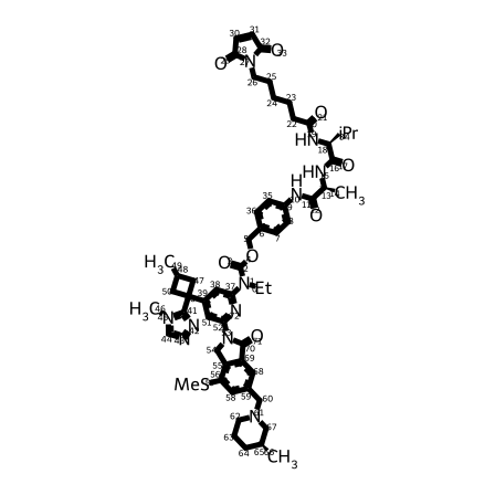 CCN(C(=O)OCc1ccc(NC(=O)[C@H](C)NC(=O)[C@@H](NC(=O)CCCCCN2C(=O)C=CC2=O)C(C)C)cc1)c1cc(C2(c3nncn3C)CC(C)C2)cc(N2Cc3c(SC)cc(CN4CCC[C@H](C)C4)cc3C2=O)n1